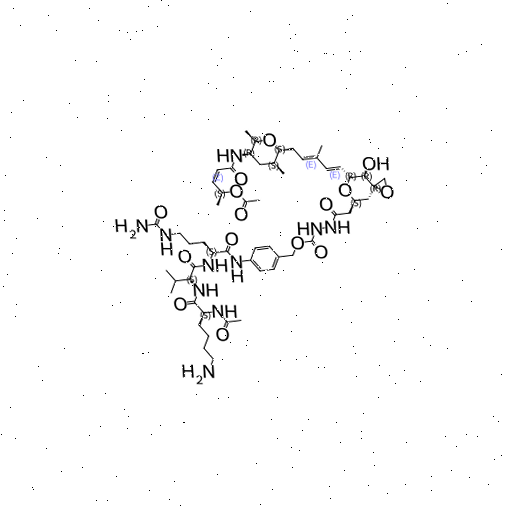 CC(=O)N[C@@H](CCCCN)C(=O)N[C@H](C(=O)N[C@@H](CCCNC(N)=O)C(=O)Nc1ccc(COC(=O)NNC(=O)C[C@@H]2C[C@@]3(CO3)[C@H](O)[C@@H](/C=C/C(C)=C/C[C@@H]3O[C@H](C)[C@H](NC(=O)/C=C\[C@H](C)OC(C)=O)C[C@@H]3C)O2)cc1)C(C)C